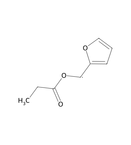 CCC(=O)O[CH]c1ccco1